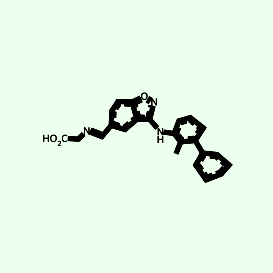 Cc1c(Nc2noc3ccc(C=NCC(=O)O)cc23)cccc1-c1ccccc1